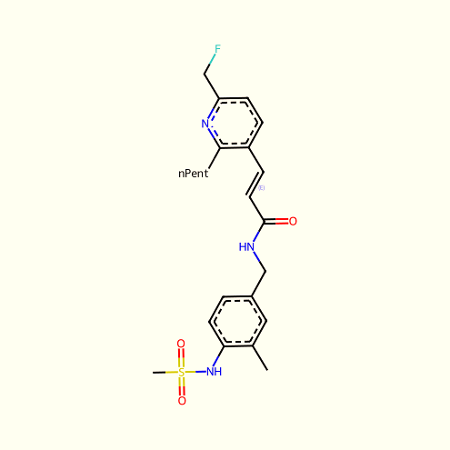 CCCCCc1nc(CF)ccc1/C=C/C(=O)NCc1ccc(NS(C)(=O)=O)c(C)c1